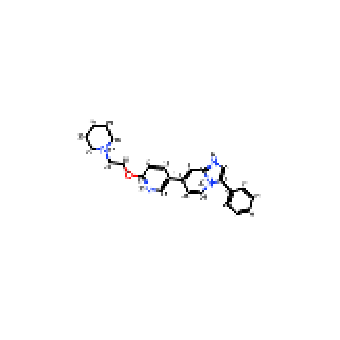 c1ccc(-c2cnc3cc(-c4ccc(OCCN5CCCCC5)nc4)ccn23)cc1